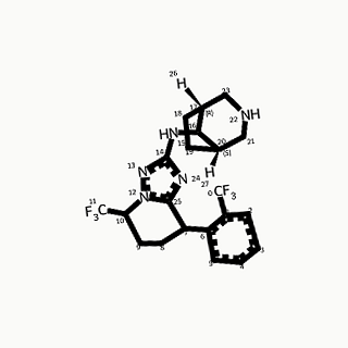 FC(F)(F)c1ccccc1C1CCC(C(F)(F)F)n2nc(NC3[C@@H]4CC[C@H]3CNC4)nc21